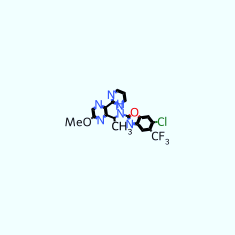 COc1cnc(-c2ncccn2)c(C(C)Nc2nc3cc(C(F)(F)F)c(Cl)cc3o2)n1